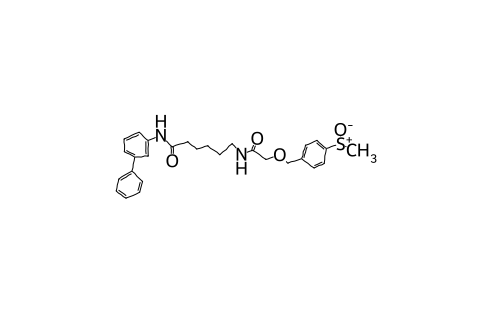 C[S+]([O-])c1ccc(COCC(=O)NCCCCCC(=O)Nc2cccc(-c3ccccc3)c2)cc1